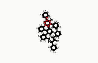 Cc1c(-c2ccccc2)nc(-c2ccccc2-c2cccc(-c3ccc(C#N)cc3)c2-c2ccccc2-c2nc(-c3ccccc3)c(C)c(-c3ccccc3)n2)nc1-c1ccccc1